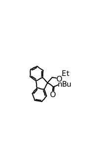 CCCCC(=O)C1(COCC)c2ccccc2-c2ccccc21